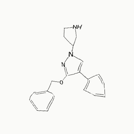 c1ccc(COc2nn(C3CCNC3)cc2-c2ccccc2)cc1